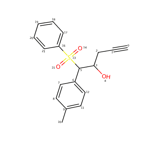 C#CCC(O)C(c1ccc(C)cc1)S(=O)(=O)c1ccccc1